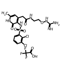 Cc1cc(CC(=O)NCCONC(=N)N)c(NS(=O)(=O)c2cccc(Cl)c2Cl)c(=O)[nH]1.O=C(O)C(F)(F)F